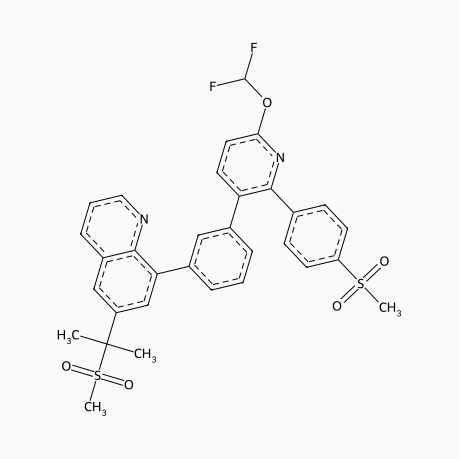 CC(C)(c1cc(-c2cccc(-c3ccc(OC(F)F)nc3-c3ccc(S(C)(=O)=O)cc3)c2)c2ncccc2c1)S(C)(=O)=O